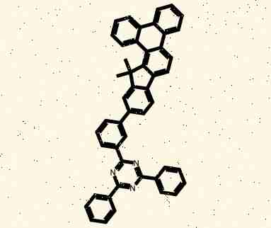 CC1(C)c2cc(-c3cccc(-c4nc(-c5ccccc5)nc(-c5ccccc5)n4)c3)ccc2-c2ccc3c4ccccc4c4ccccc4c3c21